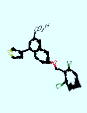 O=C(O)c1cc(-c2ccsc2)c2ccc(OCc3c(Cl)cccc3Cl)cc2c1